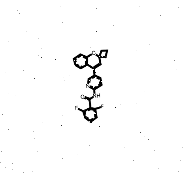 O=C(Nc1ccc(C2=CC3(CCC3)Oc3ccccc32)cn1)c1c(F)cccc1F